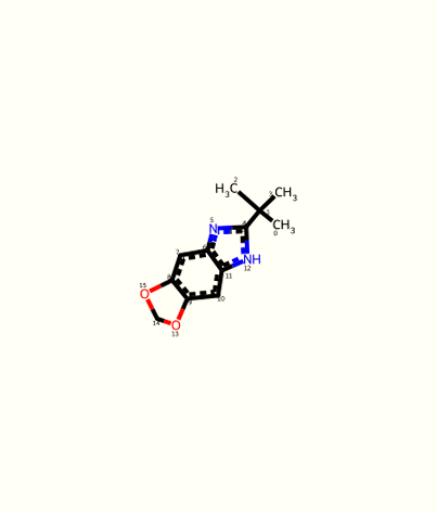 CC(C)(C)c1nc2cc3c(cc2[nH]1)OCO3